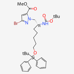 COC(=O)c1cc(Br)nn1C[C@@H](CCCCCO[Si](c1ccccc1)(c1ccccc1)C(C)(C)C)NC(=O)OC(C)(C)C